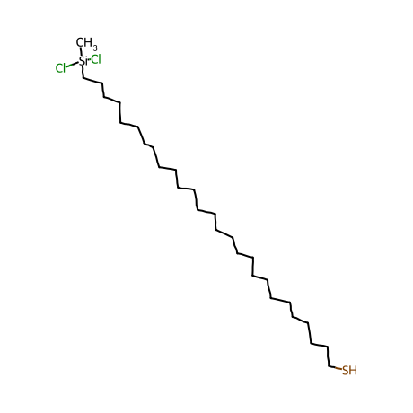 C[Si](Cl)(Cl)CCCCCCCCCCCCCCCCCCCCCCCCCCCS